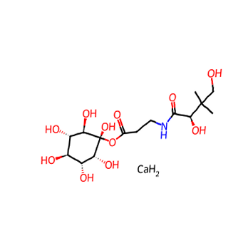 CC(C)(CO)[C@@H](O)C(=O)NCCC(=O)O[C@]1(O)[C@H](O)[C@H](O)[C@@H](O)[C@H](O)[C@H]1O.[CaH2]